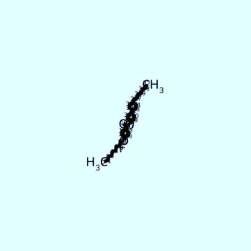 CCCCCCCC(F)COc1ccc(C(=O)Oc2ccc(C3CCC(CCCCCCC)CC3)cc2)cc1